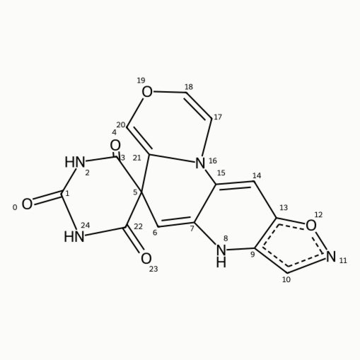 O=C1NC(=O)C2(C=C3Nc4cnoc4C=C3N3C=COC=C32)C(=O)N1